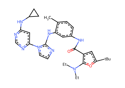 CCN(CC)c1oc(C(C)(C)C)cc1C(=O)Nc1ccc(C)c(Nc2nccn2-c2cc(NC3CC3)ncn2)c1